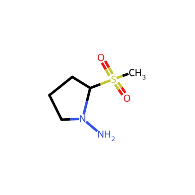 CS(=O)(=O)C1CCCN1N